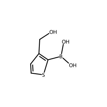 OCc1ccsc1B(O)O